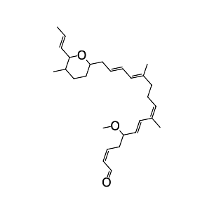 C/C=C/C1OC(C/C=C/C=C(\C)CC/C=C(C)\C=C\C(C/C=C\C=O)OC)CCC1C